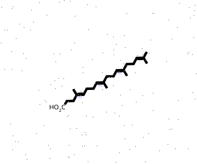 CC(C)=CCC/C(C)=C/CC/C(C)=C/CC/C=C(\C)CCC(=O)O